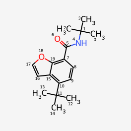 CC(C)(C)NC(=O)c1ccc(C(C)(C)C)c2ccoc12